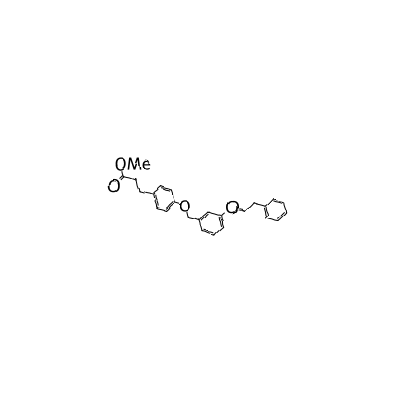 COC(=O)CCc1ccc(OCc2cccc(OCCc3ccccc3)c2)cc1